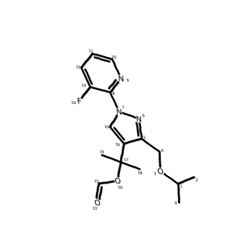 CC(C)OCc1nn(-c2ncccc2F)cc1C(C)(C)OC=O